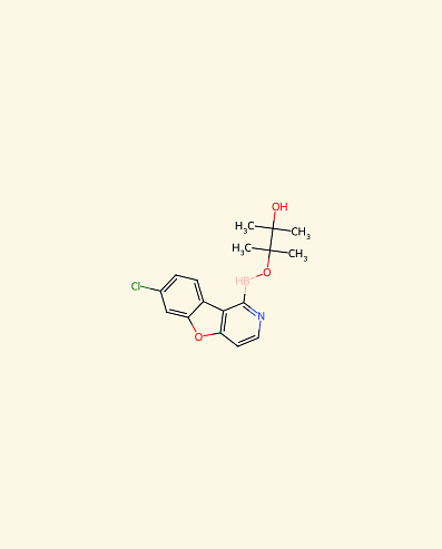 CC(C)(O)C(C)(C)OBc1nccc2oc3cc(Cl)ccc3c12